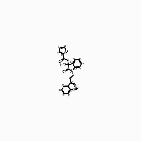 O=C(CC1(O)C(=O)N(CCc2c[nH]c3ccccc23)c2ccccc21)c1ccco1